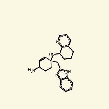 N[C@H]1C=C[C@](Cc2nc3ccccc3[nH]2)(NC2CCCc3cccnc32)CC1